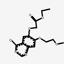 CCOC(=O)COc1cc2c(Cl)ncnc2cc1OCCOC